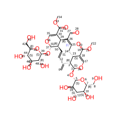 C=C[C@H]1[C@H](O[C@@H]2O[C@H](CO)[C@@H](O)[C@H](O)[C@H]2O)OC=C(C(=O)OC)[C@H]1C/C=C(/C=O)[C@@H]1C(C(=O)OC)=CO[C@@H](O[C@@H]2O[C@H](CO)[C@@H](O)[C@H](O)[C@H]2O)[C@@H]1C=C